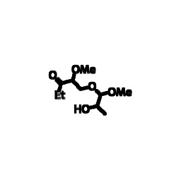 CCC(=O)C(COC(OC)C(C)O)OC